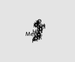 COc1c(Nc2ncc(Cl)c(Nc3ccccc3P(C)(C)=O)n2)ccc(F)c1N1CCC(F)CC1